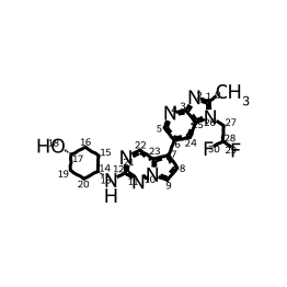 Cc1nc2ncc(-c3ccn4nc(N[C@H]5CC[C@@H](O)CC5)ncc34)cc2n1CC(F)F